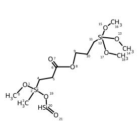 CO[Si](C)(CCC(=O)OCCC[Si](OC)(OC)OC)O[SiH]=O